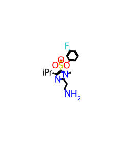 CC(C)c1nc(CCN)n(C)c1S(=O)(=O)Oc1cccc(F)c1